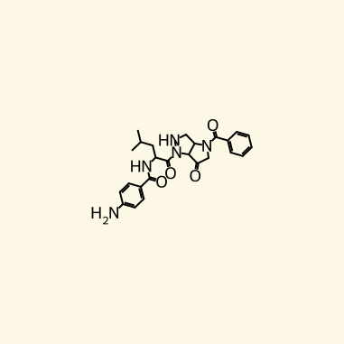 CC(C)CC(NC(=O)c1ccc(N)cc1)C(=O)N1NCC2C1C(=O)CN2C(=O)c1ccccc1